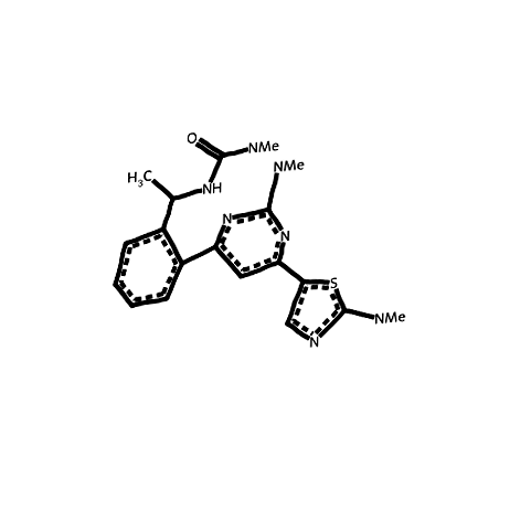 CNC(=O)NC(C)c1ccccc1-c1cc(-c2cnc(NC)s2)nc(NC)n1